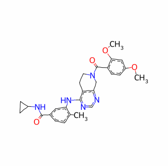 COc1ccc(C(=O)N2CCc3c(ncnc3Nc3cc(C(=O)NC4CC4)ccc3C)C2)c(OC)c1